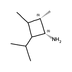 CC(C)C1C(C)[C@H](C)[C@@H]1N